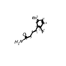 NC(=O)CC[CH]c1cc(Br)ccc1F